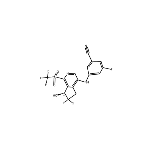 N#Cc1cc(F)cc(Nc2cnc(S(=O)(=O)C(F)(F)F)c3c2CC(F)(F)[C@H]3O)c1